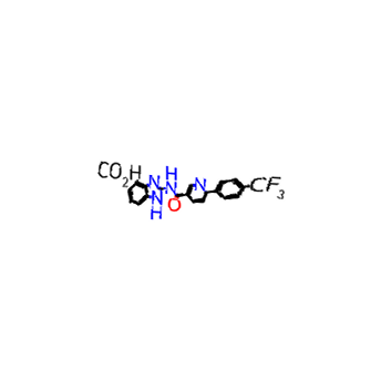 O=C(Nc1nc2c(C(=O)O)cccc2[nH]1)c1ccc(-c2ccc(C(F)(F)F)cc2)nc1